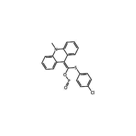 CN1c2ccccc2C(=C(OP=O)Sc2ccc(Cl)cc2)c2ccccc21